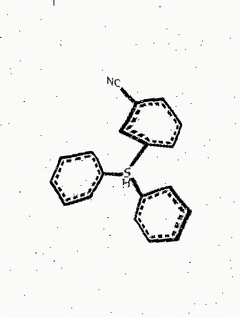 N#Cc1cccc([SH](c2ccccc2)c2ccccc2)c1